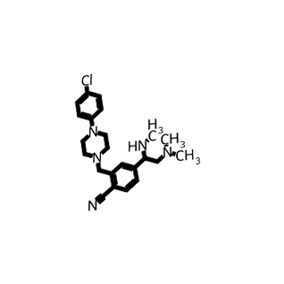 CNC(CN(C)C)c1ccc(C#N)c(CN2CCN(c3ccc(Cl)cc3)CC2)c1